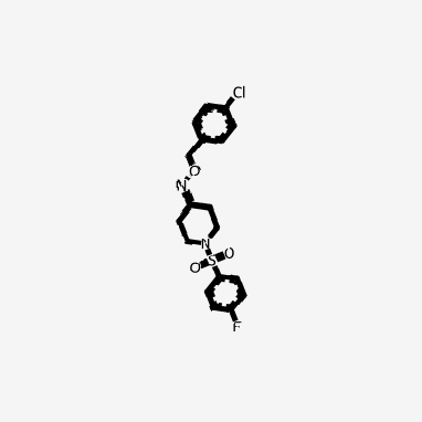 O=S(=O)(c1ccc(F)cc1)N1CCC(=NOCc2ccc(Cl)cc2)CC1